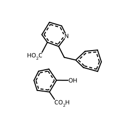 O=C(O)c1ccccc1O.O=C(O)c1cccnc1Cc1ccccc1